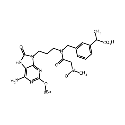 CCCCOc1nc(N)c2[nH]c(=O)n(CCCN(Cc3cccc(C(C)C(=O)O)c3)C(=O)C[S+](C)[O-])c2n1